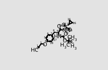 C#CCOc1ccc(C[C@H](NC(=O)OC(C)(C)C)C(=O)NS(=O)(=O)C2CC2)cc1